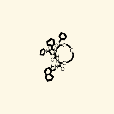 O=C(NCc1cccc2ccccc12)[C@@H]1CCCCCCCCC[C@@H](Cc2ccccc2)C(=O)N(Cc2ccccc2)[C@@H](CC(=O)N2CCCC2)C(=O)N1